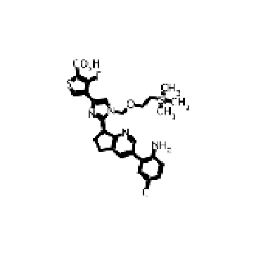 C[Si](C)(C)CCOCn1cc(-c2csc(C(=O)O)c2F)nc1C1CCc2cc(-c3cc(Cl)ccc3N)cnc21